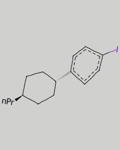 CCC[C@H]1CC[C@H](c2ccc(I)cc2)CC1